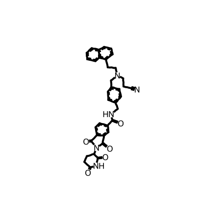 N#CCCN(CCc1cccc2ccccc12)Cc1ccc(CNC(=O)c2ccc3c(c2)C(=O)N(C2CCC(=O)NC2=O)C3=O)cc1